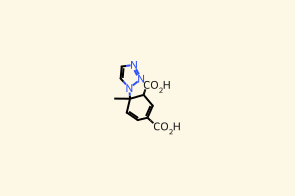 CC1(n2ccnn2)C=CC(C(=O)O)=CC1C(=O)O